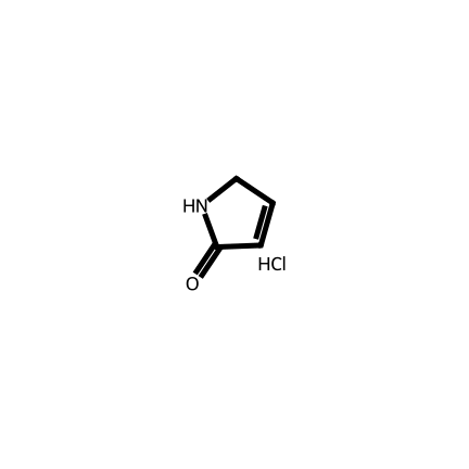 Cl.O=C1C=CCN1